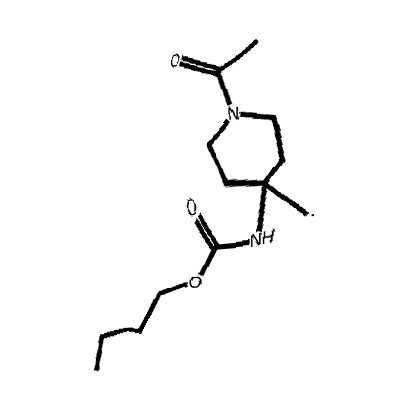 [CH2]C1(NC(=O)OCCCC)CCN(C(C)=O)CC1